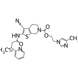 Cc1cn(CCOC(=O)N2CCc3c(sc(NC(=O)C[C@H](C)c4ccccn4)c3C#N)C2)cn1